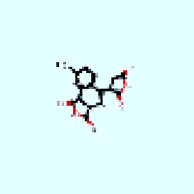 Cc1ccc2c(c1)C1C(=O)OC(=O)C1CC2C1CC(=O)OC1=O